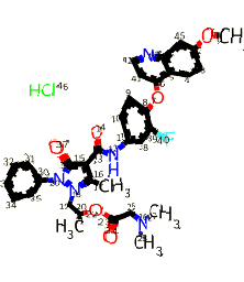 COc1ccc2c(Oc3ccc(NC(=O)c4c(C)n(CC(C)OC(=O)CN(C)C)n(-c5ccccc5)c4=O)cc3F)ccnc2c1.Cl